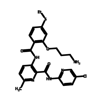 CCSc1ccc(C(=O)Nc2ccc(C)nc2C(=O)Nc2ccc(Cl)cn2)c(OCCCN)c1